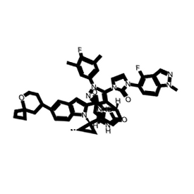 Cc1cc(-n2nc3c(c2-n2ccn(-c4ccc5c(cnn5C)c4F)c2=O)[C@@H]2CC[C@H](C3)N2C(=O)c2cc3cc(C4CCOC5(CCC5)C4)ccc3n2[C@@]2(c3noc(=O)[nH]3)C[C@@H]2C)cc(C)c1F